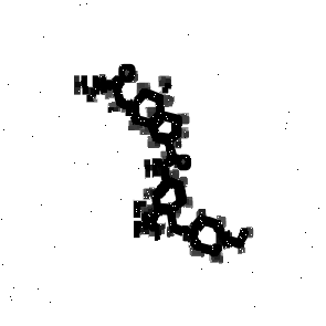 CCN1CCN(Cc2ccc(NC(=O)c3ccc4c(c3)CN(CC(N)=O)C[C@@H]4C)cc2C(F)(F)F)CC1